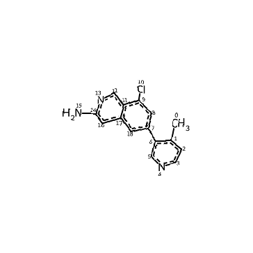 Cc1ccncc1-c1cc(Cl)c2cnc(N)cc2c1